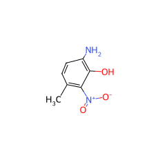 Cc1ccc(N)c(O)c1[N+](=O)[O-]